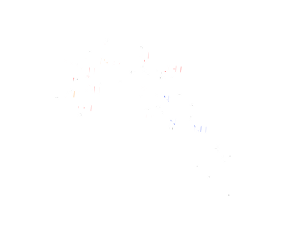 COc1ccc(CNc2ccn([C@@H]3O[C@H](COP(=O)(O)OP(=O)(O)OP(=O)(O)O)[C@@H](O)[C@H]3O)c(=O)n2)cc1